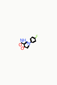 NC(=O)c1cn(-c2ccc(F)cc2)ccc1=O